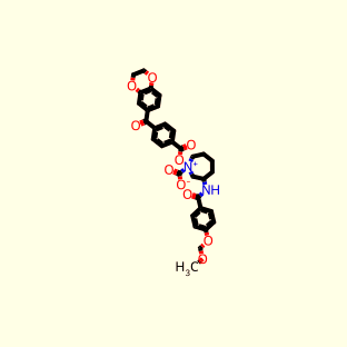 COCOc1ccc(C(=O)NC2CCCC[N+](OC(=O)c3ccc(C(=O)c4ccc5c(c4)OCCO5)cc3)(C(=O)[O-])C2)cc1